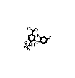 CS(=O)(=O)Nc1ccc(C(=O)Cl)cc1Oc1ccc(F)cc1F